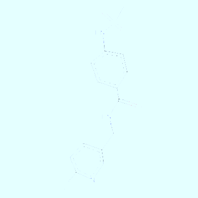 CS(=O)(=O)Nc1ccc(C(=O)NCc2ccc(C(F)(F)F)nc2)cc1